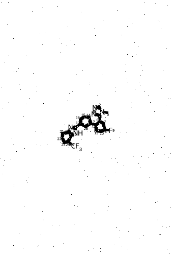 Cn1cnnc1-c1cc(F)ccc1-c1cccc(-c2nc3cccc(C(F)(F)F)c3[nH]2)c1